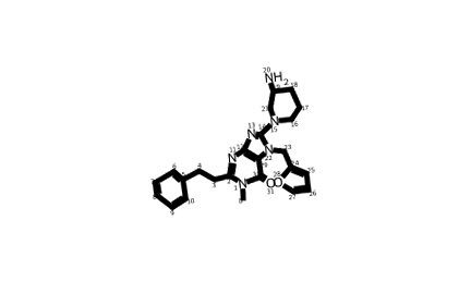 Cn1c(CCc2ccccc2)nc2nc(N3CCCC(N)C3)n(Cc3ccco3)c2c1=O